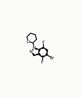 Fc1c(Br)cc(F)c2c1cnn2C1CCCCO1